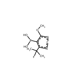 COc1ncnc(C(C)(C)F)c1B(O)O